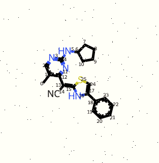 Cc1cnc(NC2CCCC2)nc1/C(C#N)=C1/NC(c2ccccc2)=CS1